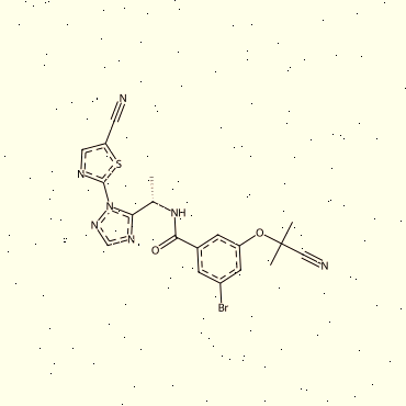 C[C@H](NC(=O)c1cc(Br)cc(OC(C)(C)C#N)c1)c1ncnn1-c1ncc(C#N)s1